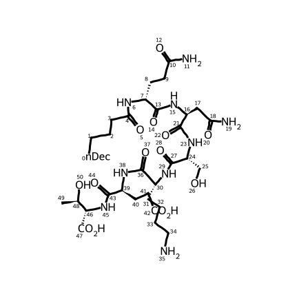 CCCCCCCCCCCCCC(=O)N[C@H](CCC(N)=O)C(=O)N[C@@H](CC(N)=O)C(=O)N[C@H](CO)C(=O)N[C@H](CCCCN)C(=O)N[C@@H](CCC(=O)O)C(=O)N[C@H](C(=O)O)[C@@H](C)O